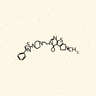 CN1CCc2c(sc3ncn(CCN4CCN(c5nc(-c6ccccc6)cs5)CC4)c(=O)c23)C1